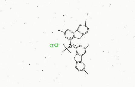 Cc1ccc2c(c1)-c1cc(C)c[c]([Zr+2]([c]3cc(C)cc4c3Cc3ccc(C)cc3-4)[C](C)(C)C)c1C2.[Cl-].[Cl-]